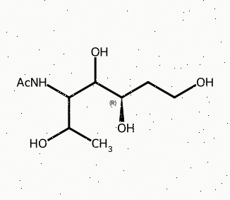 CC(=O)NC(C(C)O)C(O)[C@H](O)CCO